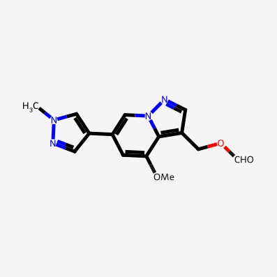 COc1cc(-c2cnn(C)c2)cn2ncc(COC=O)c12